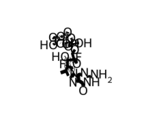 C=C(C)[C@]1(F)[C@H](n2cnc3c(=O)[nH]c(N)nc32)O[C@](F)(COP(=O)(O)OP(=O)(O)OP(=O)(O)O)[C@H]1O